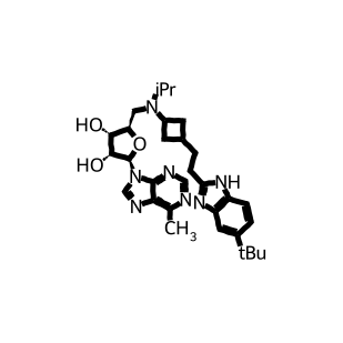 Cc1ncnc2c1ncn2[C@@H]1O[C@H](CN(C(C)C)C2CC(CCc3nc4cc(C(C)(C)C)ccc4[nH]3)C2)[C@@H](O)[C@H]1O